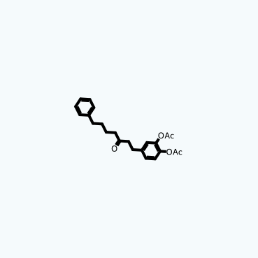 CC(=O)Oc1ccc(CCC(=O)CCCCc2ccccc2)cc1OC(C)=O